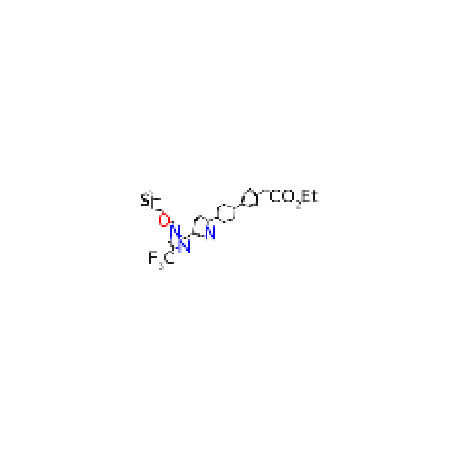 CCOC(=O)Cc1ccc(C2CC=C(c3ccc(-c4nc(C(F)(F)F)cn4COCC[Si](C)(C)C)cn3)CC2)cc1